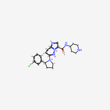 O=C(NC1CCNCC1)c1cnc2ccc(N3CCCC3c3cccc(F)c3)nn12